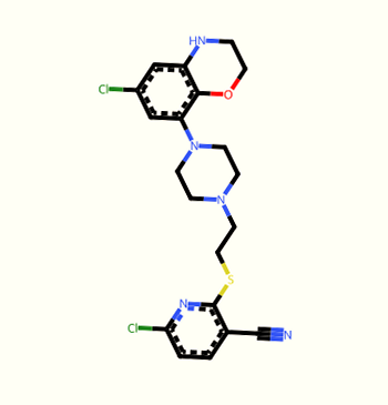 N#Cc1ccc(Cl)nc1SCCN1CCN(c2cc(Cl)cc3c2OCCN3)CC1